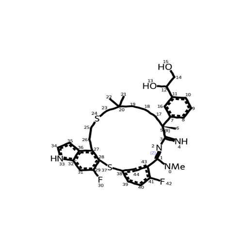 CN/C1=N\C(=N)[C@@](C)(c2cccc(C(O)CO)c2)CCCC(C)(C)CSCCc2c(c(F)cc3[nH]ccc23)Sc2ccc(F)c1c2